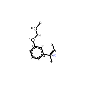 [CH2]/C=C(/C)c1cccc(OCOC)c1